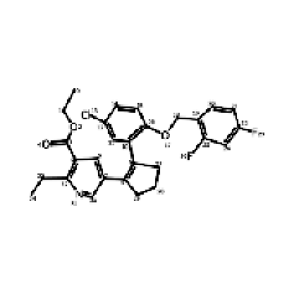 CCOC(=O)c1cc(C2=C(c3cc(Cl)ccc3OCc3ccc(F)cc3F)CCC2)cnc1CC